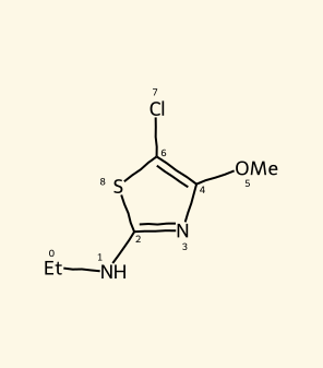 CCNc1nc(OC)c(Cl)s1